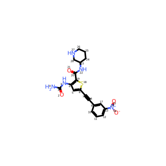 NC(=O)Nc1cc(C#Cc2cccc([N+](=O)[O-])c2)sc1C(=O)NC1CCCNC1